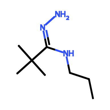 CCCN/C(=N\N)C(C)(C)C